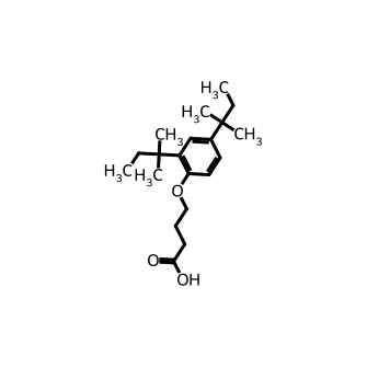 CCC(C)(C)c1ccc(OCCCC(=O)O)c(C(C)(C)CC)c1